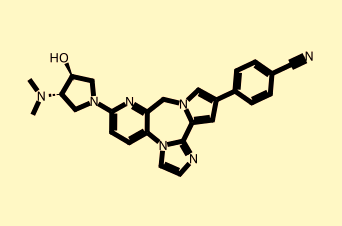 CN(C)[C@H]1CN(c2ccc3c(n2)Cn2cc(-c4ccc(C#N)cc4)cc2-c2nccn2-3)C[C@@H]1O